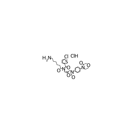 Cl.NCCCCCC(=O)N(C[C@H]1CN(c2ccc(N3CCOCC3=O)cc2)C(=O)O1)C(=O)c1ccc(Cl)s1